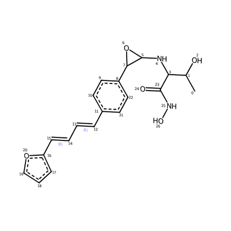 CC(O)C(NC1OC1c1ccc(/C=C/C=C/c2ccco2)cc1)C(=O)NO